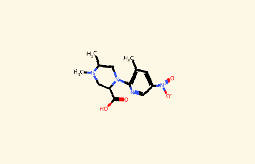 Cc1cc([N+](=O)[O-])cnc1N1CC(C)N(C)CC1C(=O)O